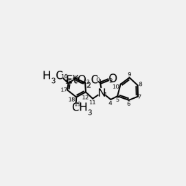 CCOC(=O)C(=O)N(Cc1ccccc1)Cc1ccc(C)cc1C